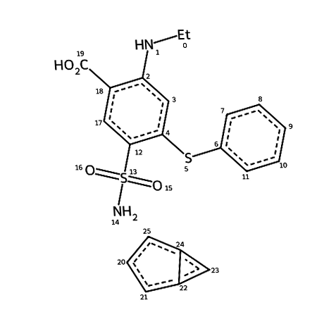 CCNc1cc(Sc2ccccc2)c(S(N)(=O)=O)cc1C(=O)O.c1cc2cc-2c1